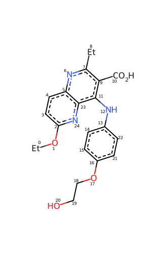 CCOc1ccc2nc(CC)c(C(=O)O)c(Nc3ccc(OCCO)cc3)c2n1